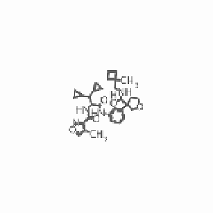 Cc1conc1C(=O)N[C@H](C(=O)Nc1cccc(C2(C(O)NCC3(C)CCC3)CCOC2)c1)C(C1CC1)C1CC1